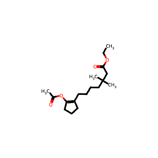 CCOC(=O)CC(C)(C)CCCCC1=C(OC(C)=O)CCC1